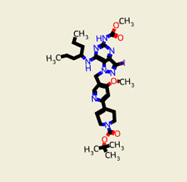 CCCC(CCC)Nc1nc(NC(=O)OC)nc2c(I)nn(Cc3cnc(C4=CCN(C(=O)OC(C)(C)C)CC4)cc3OC)c12